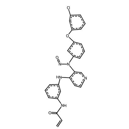 C=CC(=O)Nc1cccc(Nc2ccncc2N(N=O)c2cccc(Oc3cccc(Cl)c3)c2)c1